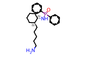 NCCCCC[C@H]1CCCC[C@@H]1NP(=O)(c1ccccc1)c1ccccc1